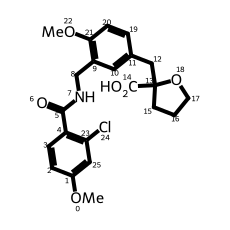 COc1ccc(C(=O)NCc2cc(CC3(C(=O)O)CCCO3)ccc2OC)c(Cl)c1